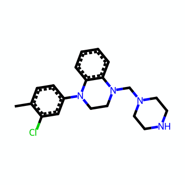 Cc1ccc(N2CCN(CN3CCNCC3)c3ccccc32)cc1Cl